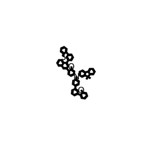 CC1(C)c2ccccc2-c2ccc(N(c3ccc(-c4cccc5c4oc4ccccc45)cc3)c3ccc4c(c3)oc3c(-c5cccc6c5sc5ccccc56)c5ccccc5cc34)cc21